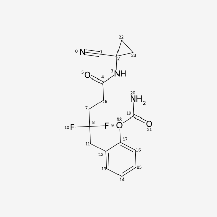 N#CC1(NC(=O)[CH]CC(F)(F)Cc2ccccc2OC(N)=O)CC1